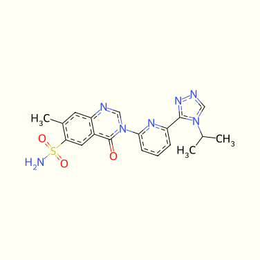 Cc1cc2ncn(-c3cccc(-c4nncn4C(C)C)n3)c(=O)c2cc1S(N)(=O)=O